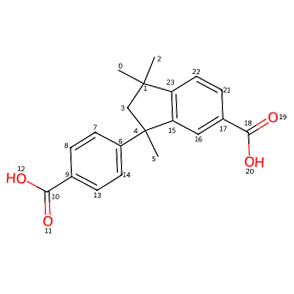 CC1(C)CC(C)(c2ccc(C(=O)O)cc2)c2cc(C(=O)O)ccc21